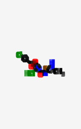 CC1Cc2nc(C(=O)N3CCN(S(=O)(=O)C=Cc4ccc(Cl)cc4)CC3)sc2CN1.Cl